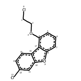 ClCCOc1cccc2oc3cc(Cl)ccc3c12